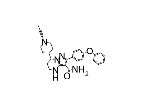 CC#CN1CCC(C2CCNc3c(C(N)=O)c(-c4ccc(Oc5ccccc5)cc4)nn32)CC1